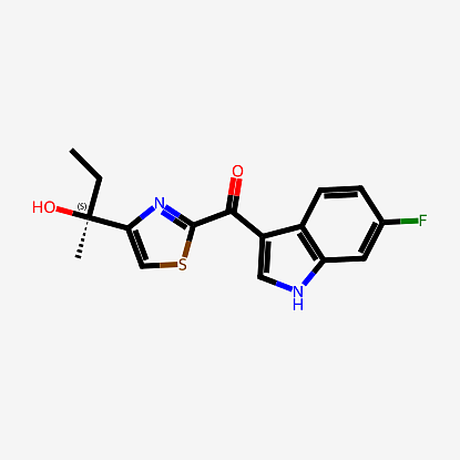 CC[C@](C)(O)c1csc(C(=O)c2c[nH]c3cc(F)ccc23)n1